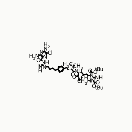 CN(C)C(=O)[C@@H](CCCCN(C(=N)NC(=O)OC(C)(C)C)C(=O)OC(C)(C)C)NC(=O)[C@H](CCc1ccc(CCCCNC(=N)NC(=O)c2nc(Cl)c(N)nc2N)cc1)N(C)C